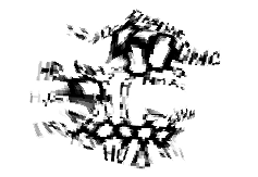 COc1cc2c(c(OC)c1OC)-c1ccc(OC)c(=O)cc1[C@@H](NC(C)=O)CC2.COc1cccc2c1C(=O)c1c(O)c3c(c(O)c1C2=O)C[C@@](O)(C(=O)CO)C[C@@H]3O[C@H]1C[C@H](N)[C@H](O)[C@H](C)O1